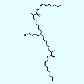 CCCCCC/C=C\COC(=O)C(C)CCCCCCN(CCCCO)CCCCCCC(C)C(=O)OC/C=C\CCCCCC